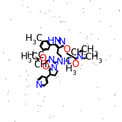 CCN(CC)C(=O)C(C)(C)COc1n[nH]c(-c2cc(C)cc(C)c2)c1CCN/C(=N/C(=O)OC(C)C)N1CCC(c2ccncc2)C1